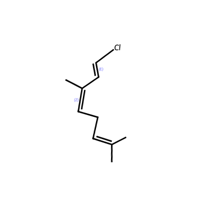 CC(C)=CC/C=C(C)\C=C\Cl